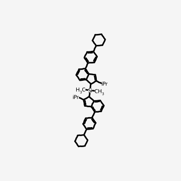 CC(C)C1=Cc2c(-c3ccc(C4CCCCC4)cc3)cccc2C1[Si](C)(C)C1C(C(C)C)=Cc2c(-c3ccc(C4CCCCC4)cc3)cccc21